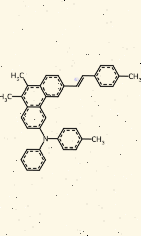 Cc1ccc(/C=C/c2ccc3c(C)c(C)c4ccc(N(c5ccccc5)c5ccc(C)cc5)cc4c3c2)cc1